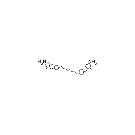 Cc1cc(N)cc(C)c1Cc1ccc(CCCCCCCCc2ccc(Cc3c(C)cc(N)cc3C)cc2)cc1